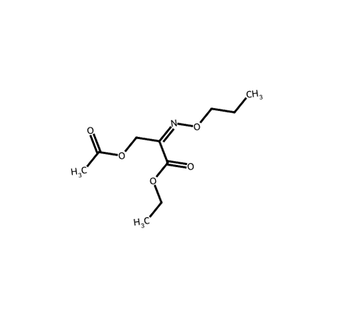 CCCON=C(COC(C)=O)C(=O)OCC